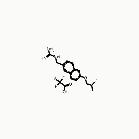 CC(F)COc1ccc2cc(CNC(=N)N)ccc2c1.O=C(O)C(F)(F)F